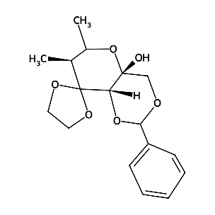 CC1O[C@]2(O)COC(c3ccccc3)O[C@@H]2C2(OCCO2)[C@H]1C